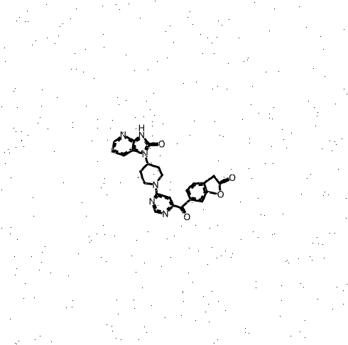 O=C1Cc2ccc(C(=O)c3cc(N4CCC(n5c(=O)[nH]c6ncccc65)CC4)ncn3)cc2O1